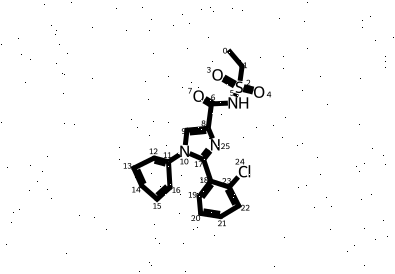 CCS(=O)(=O)NC(=O)c1cn(-c2ccccc2)c(-c2ccccc2Cl)n1